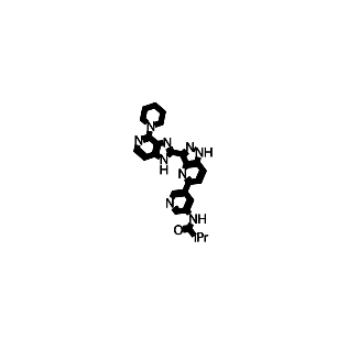 CC(C)C(=O)Nc1cncc(-c2ccc3[nH]nc(-c4nc5c(N6CCCCC6)nccc5[nH]4)c3n2)c1